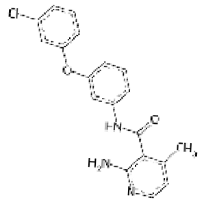 Cc1ccnc(N)c1C(=O)Nc1cccc(Oc2cccc(Cl)c2)c1